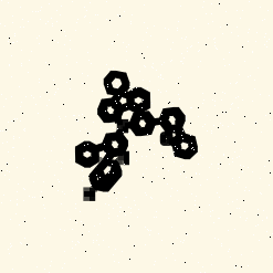 c1ccc2c(c1)-c1c(N(c3ccc(-c4cccc5c4oc4ccccc45)cc3)c3ccc4c(c3)-c3ccccc3[C@]43C4CC5C[C@@H](C4)C[C@@H]3C5)cccc1C21CCCCC1